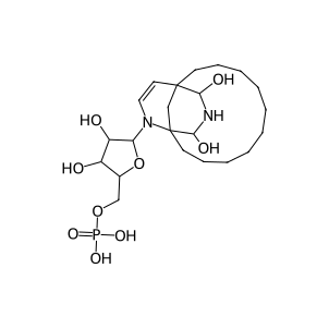 O=P(O)(O)OCC1OC(N2C=CC34CCCCCCCCCCC2(C3)C(O)NC4O)C(O)C1O